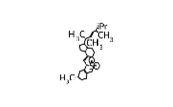 CC(C)[C@@H](C)/C=C/[C@@H](C)C1CCC2C(=CC3C4=C(CC[C@H](C)C4)CS3(=O)=O)CCC[C@@]21C